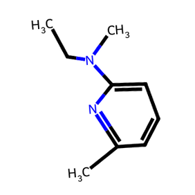 CCN(C)c1cccc(C)n1